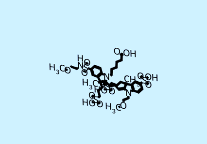 COCCNS(=O)(=O)c1ccc2c(c1)C(C)(CCCS(=O)(=O)O)C(/C=C/C=C1/N(CCOC)c3ccc(S(=O)(=O)O)cc3C1(C)CCCS(=O)(=O)O)=[N+]2CCCCCC(=O)O